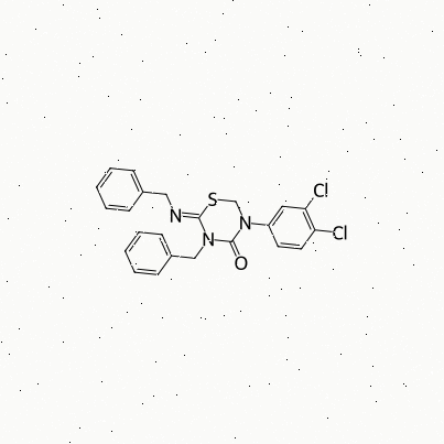 O=C1N(Cc2ccccc2)C(=NCc2ccccc2)SCN1c1ccc(Cl)c(Cl)c1